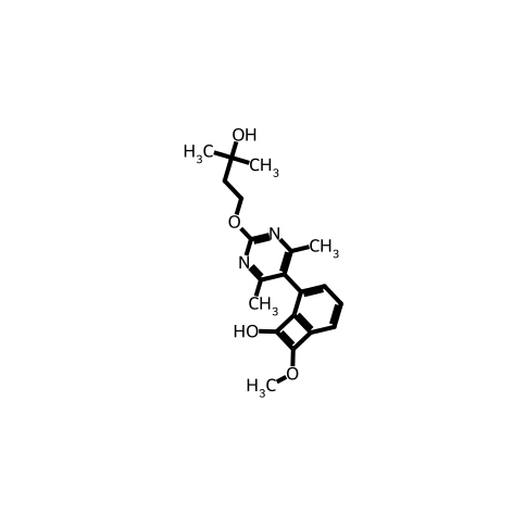 COC1=C(O)c2c1cccc2-c1c(C)nc(OCCC(C)(C)O)nc1C